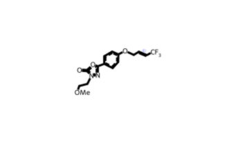 COCCn1nc(-c2ccc(OC/C=C/C(F)(F)F)cc2)oc1=O